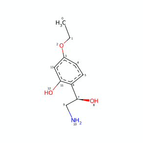 CCOc1ccc([C@@H](O)CN)c(O)c1